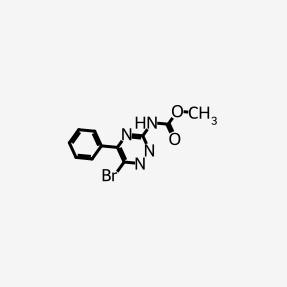 COC(=O)Nc1nnc(Br)c(-c2ccccc2)n1